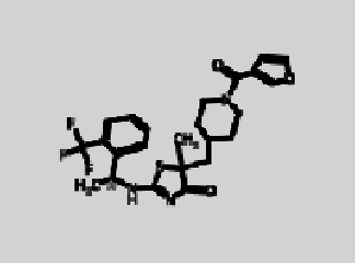 C[C@H](NC1=NC(=O)C(C)(CC2CCN(C(=O)c3ccoc3)CC2)S1)c1ccccc1C(F)(F)F